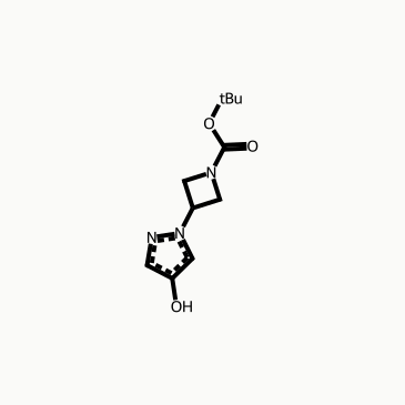 CC(C)(C)OC(=O)N1CC(n2cc(O)cn2)C1